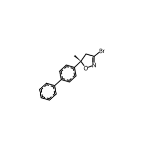 C[C@@]1(c2ccc(-c3ccccc3)cc2)CC(Br)=NO1